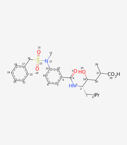 CC(C)C[C@H](NC(=O)c1cccc(N(C)S(=O)(=O)Cc2ccccc2)c1)C(O)CC(C)C(=O)O